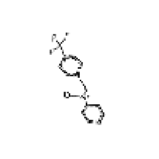 [O-][S+](Cc1ccc(C(F)(F)F)cc1)c1ccccc1